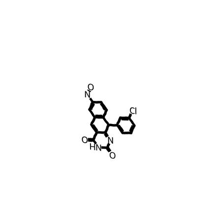 O=Nc1ccc2c(c1)C=C1C(=O)NC(=O)N=C1C2c1cccc(Cl)c1